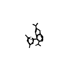 Cc1cc(C)cc(-c2c(C(C)C)ccc3c2C=C(C(C)C)[CH]3)c1